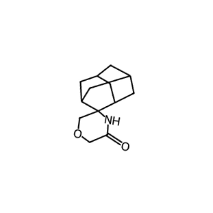 O=C1COCC2(N1)C1CC3CC(C1)CC2C3